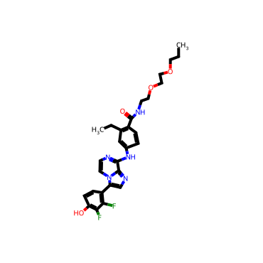 CCCOCCOCCNC(=O)c1ccc(Nc2nccn3c(-c4ccc(O)c(F)c4F)cnc23)cc1CC